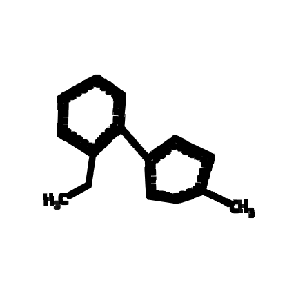 CCc1ccccc1-c1ccc(C)cc1